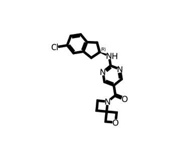 O=C(c1cnc(N[C@@H]2Cc3ccc(Cl)cc3C2)nc1)N1CCC12COC2